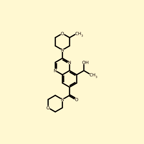 CC1CN(c2cnc3cc(C(=O)N4CCOCC4)cc(C(C)O)c3n2)CCO1